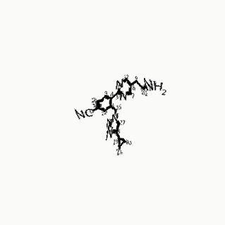 N#Cc1ccc(-c2ncc(CCN)cn2)c(Cn2cc(C3CC3)nn2)c1